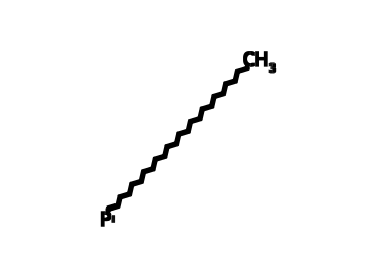 CCCCCCCCCCCCCCCCCCCCCCCC=C[P]